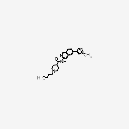 CCCCN1CCC(C(=O)Nc2cc3cc(-c4cnn(C)c4)ccc3cn2)CC1